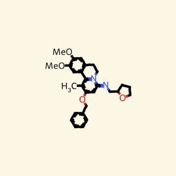 COc1cc2c(cc1OC)-c1c(C)c(OCc3ccccc3)cc(=NCC3CCCO3)n1CC2